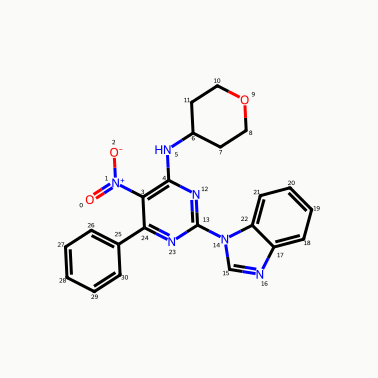 O=[N+]([O-])c1c(NC2CCOCC2)nc(-n2cnc3ccccc32)nc1-c1ccccc1